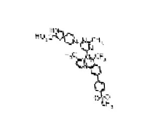 Cc1ccn(-c2cc(-c3ccc(S(C)(=O)=O)cc3)ccc2[C@@H](Oc2cc(N3CCC4(CC3)CNC(C(=O)O)C4)nc(C)n2)C(F)(F)F)n1